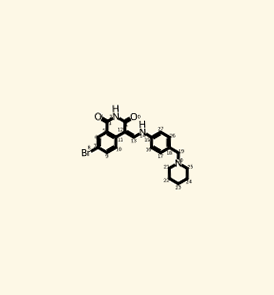 O=C1NC(=O)c2cc(Br)ccc2/C1=C/Nc1ccc(CN2CCCCC2)cc1